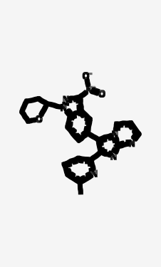 Cc1cccc(-c2nc3ncccn3c2-c2ccc3c(c2)c([N+](=O)[O-])nn3C2CCCCO2)n1